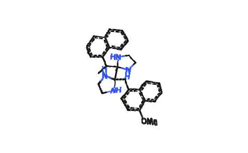 COc1ccc(CC2(C3(C(C)c4cccc5ccccc45)NCCN3)NCCN2)c2ccccc12